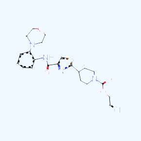 C=CCOC(=O)N1CCC(c2nc(C(=O)Nc3ccccc3N3CCOCC3)cs2)CC1